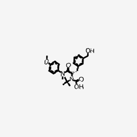 COc1ccc(N(C)C(=O)[C@H](Cc2cccc(CO)c2)N(C(=O)O)C(C)(C)C)cc1